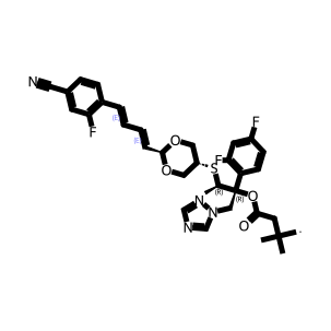 [CH2]C(C)(C)CC(=O)O[C@@](Cn1cncn1)(c1ccc(F)cc1F)[C@@H](C)S[C@H]1CO[C@H](/C=C/C=C/c2ccc(C#N)cc2F)OC1